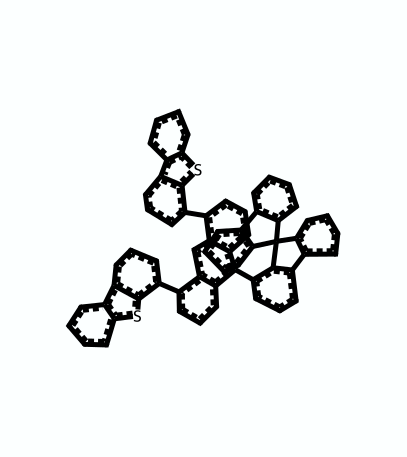 c1ccc2c(c1)-c1ccccc1C21c2ccccc2-c2cccc(-c3c4cccc(-c5cccc6c5sc5ccccc56)c4cc4c(-c5cccc6c5sc5ccccc56)cccc34)c21